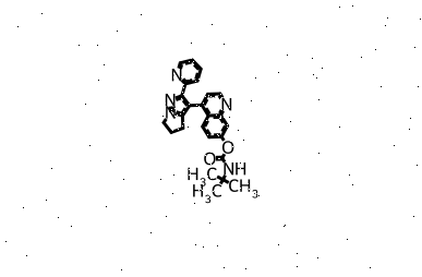 CC(C)(C)NC(=O)Oc1ccc2c(-c3c(-c4ccccn4)nn4c3CCC4)ccnc2c1